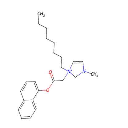 CCCCCCCC[N+]1(CC(=O)Oc2cccc3ccccc23)C=CN(C)C1